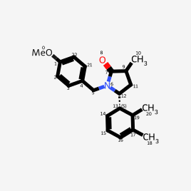 COc1ccc(CN2C(=O)C(C)CC2[C@H]2C=CC=C(C)C2C)cc1